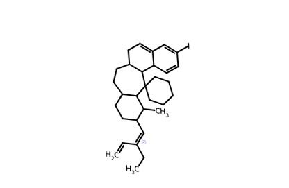 C=C/C(=C\C1CCC2CCC3CC=C4C=C(I)C=CC4C3C3(CCCCC3)C2C1C)CC